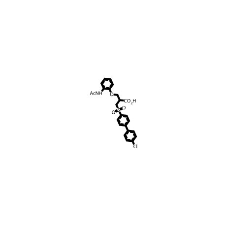 CC(=O)Nc1ccccc1OCC(CS(=O)(=O)c1ccc(-c2ccc(Cl)cc2)cc1)C(=O)O